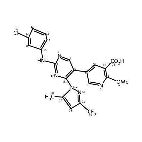 COc1ncc(-c2cnc(Nc3cccc(Cl)c3)nc2-n2nc(C(F)(F)F)cc2C)cc1C(=O)O